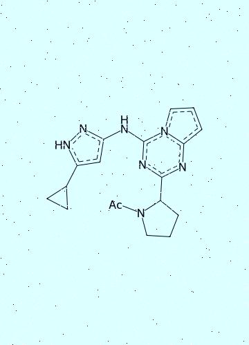 CC(=O)N1CCCC1c1nc(Nc2cc(C3CC3)[nH]n2)n2cccc2n1